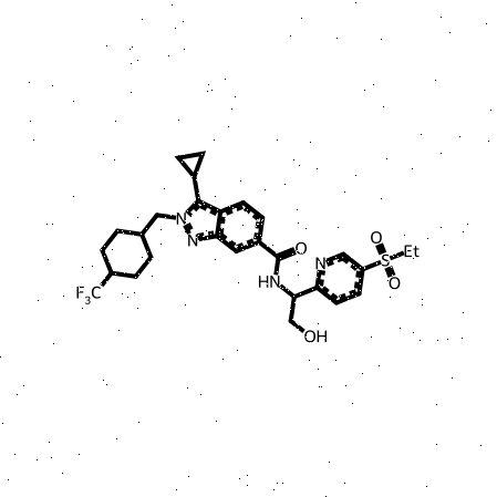 CCS(=O)(=O)c1ccc(C(CO)NC(=O)c2ccc3c(C4CC4)n(CC4CCC(C(F)(F)F)CC4)nc3c2)nc1